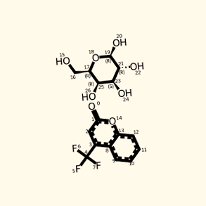 O=c1cc(C(F)(F)F)c2ccccc2o1.OC[C@H]1O[C@@H](O)[C@H](O)[C@@H](O)[C@H]1O